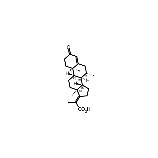 C[C@H]1CC2=CC(=O)CC[C@]2(C)[C@H]2CC[C@]3(C)C(=C(F)C(=O)O)CC[C@H]3[C@H]12